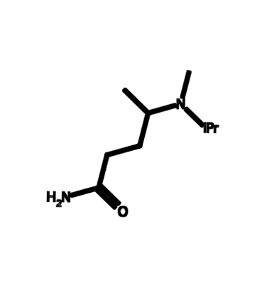 CC(C)N(C)C(C)CCC(N)=O